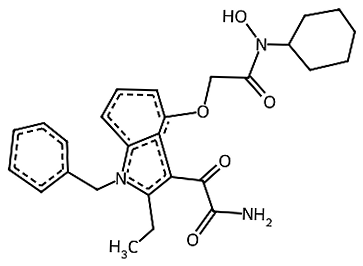 CCc1c(C(=O)C(N)=O)c2c(OCC(=O)N(O)C3CCCCC3)cccc2n1Cc1ccccc1